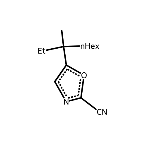 CCCCCCC(C)(CC)c1cnc(C#N)o1